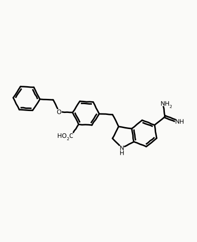 N=C(N)c1ccc2c(c1)C(Cc1ccc(OCc3ccccc3)c(C(=O)O)c1)CN2